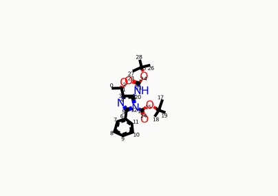 CC(=O)c1nc(-c2ccccc2)n(C(=O)OC(C)(C)C)c1NC(=O)OC(C)(C)C